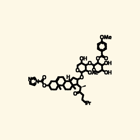 COc1ccc(C(=O)OC2C(OC3C(O)COC(OC4C[C@H]5C6CC=C7CC(OC(=O)n8ccnc8)CCC7(C)C6CCC5(C)C4[C@H](C)C(=O)CCC(C)C)C3OC(C)=O)OCC(O)C2O)cc1